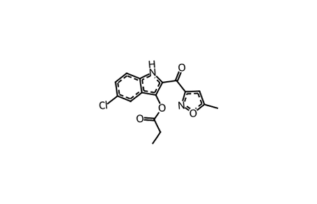 CCC(=O)Oc1c(C(=O)c2cc(C)on2)[nH]c2ccc(Cl)cc12